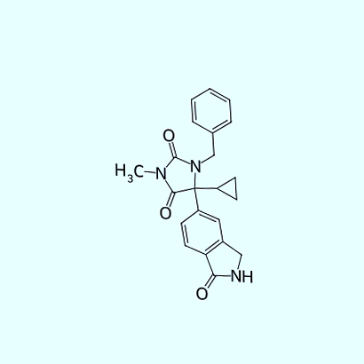 CN1C(=O)N(Cc2ccccc2)C(c2ccc3c(c2)CNC3=O)(C2CC2)C1=O